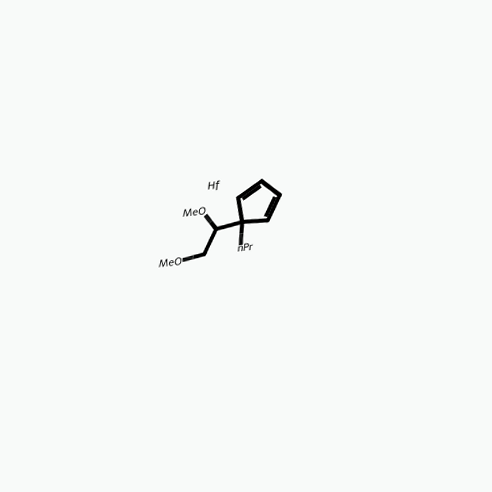 CCCC1(C(COC)OC)C=CC=C1.[Hf]